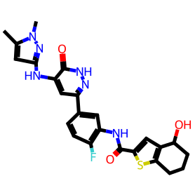 Cc1cc(Nc2cc(-c3ccc(F)c(NC(=O)c4cc5c(s4)CCCC5O)c3)n[nH]c2=O)nn1C